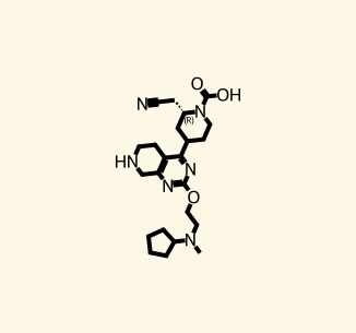 CN(CCOc1nc2c(c(C3CCN(C(=O)O)[C@@H](CC#N)C3)n1)CCNC2)C1CCCC1